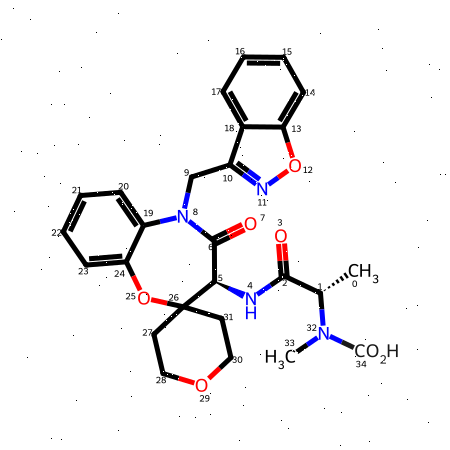 C[C@@H](C(=O)N[C@@H]1C(=O)N(Cc2noc3ccccc23)c2ccccc2OC12CCOCC2)N(C)C(=O)O